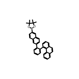 CC1(C)OB(c2ccc3cc(-c4ccccc4-c4cccc5ccc6ccccc6c45)ccc3c2)OC1(C)C